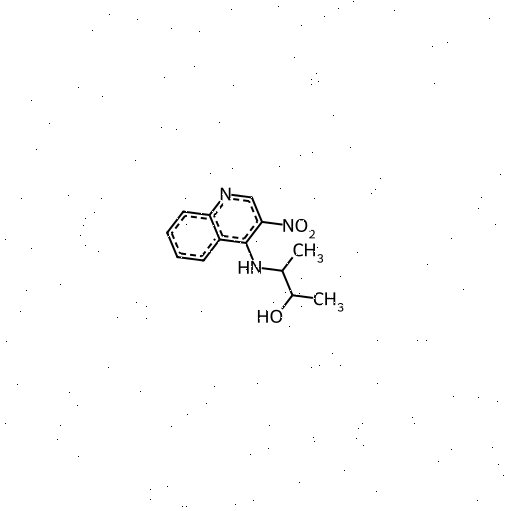 CC(O)C(C)Nc1c([N+](=O)[O-])cnc2ccccc12